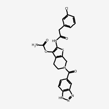 NC(=O)Oc1c(NC(=O)Cc2cccc(Cl)c2)sc2c1CCN(C(=O)c1ccc3[nH]nnc3c1)C2